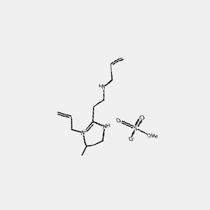 C=CCNCCC1=[N+](CC=C)C(C)CN1.COS(=O)(=O)[O-]